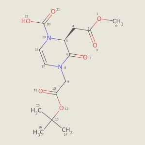 COC(=O)C[C@H]1C(=O)N(CC(=O)OC(C)(C)C)C=CN1C(=O)O